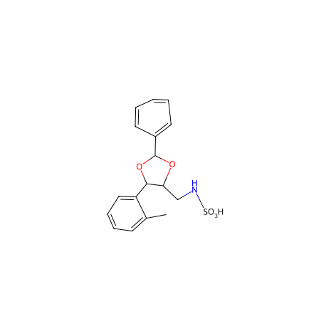 Cc1ccccc1C1OC(c2ccccc2)OC1CNS(=O)(=O)O